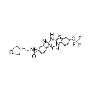 Cn1c(Nc2nc3ccc(OC(F)(F)F)cc3s2)nc2cc(C(=O)NCCC3CCOCC3)ccc21